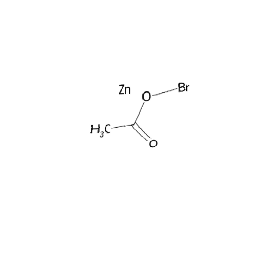 CC(=O)OBr.[Zn]